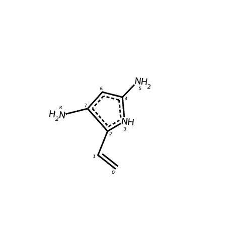 C=Cc1[nH]c(N)cc1N